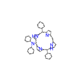 C1=Cc2nc1cc1ccc([nH]1)c(-c1ccccc1)c1nc(c(N(c3ccccc3)c3ccccc3)c3ccc([nH]3)c2-c2ccccc2)C=C1